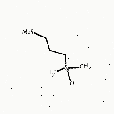 CSCCC[Si](C)(C)Cl